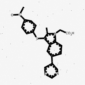 Cc1c(Sc2ccc([S+](C)[O-])cc2)c2cc(-c3cncnc3)ccc2n1CC(=O)O